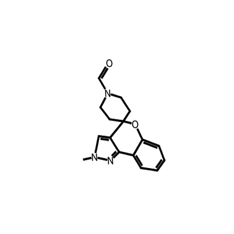 Cn1cc2c(n1)-c1ccccc1OC21CCN(C=O)CC1